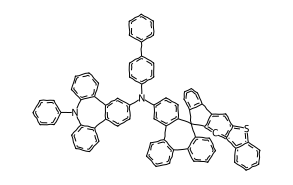 c1ccc(-c2ccc(N(c3ccc4c(c3)-c3ccccc3N(c3ccccc3)c3ccccc3-4)c3ccc4c(c3)-c3ccccc3-c3ccccc3C43c4ccccc4-c4cc5sc6ccccc6c5cc43)cc2)cc1